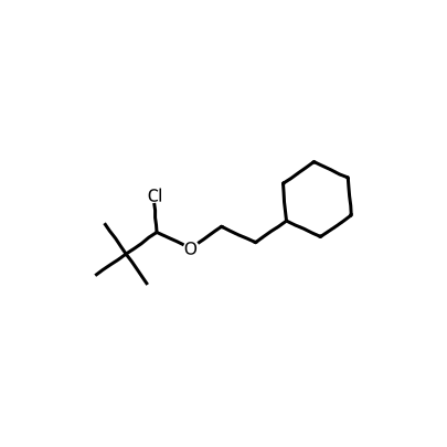 CC(C)(C)C(Cl)OCCC1CCCCC1